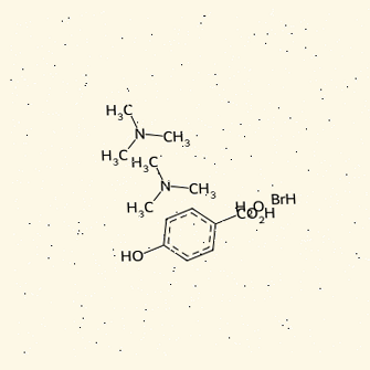 Br.CN(C)C.CN(C)C.O.O=C(O)c1ccc(O)cc1